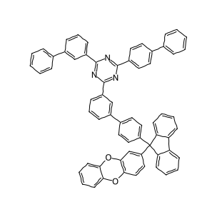 c1ccc(-c2ccc(-c3nc(-c4cccc(-c5ccccc5)c4)nc(-c4cccc(-c5ccc(C6(c7ccc8c(c7)Oc7ccccc7O8)c7ccccc7-c7ccccc76)cc5)c4)n3)cc2)cc1